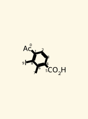 CC(=O)c1ccc(C(=O)O)c(C)c1I